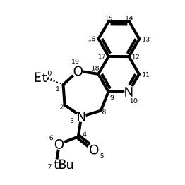 CC[C@H]1CN(C(=O)OC(C)(C)C)Cc2ncc3ccccc3c2O1